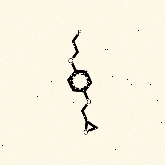 FCCOc1ccc(OCC2CO2)cc1